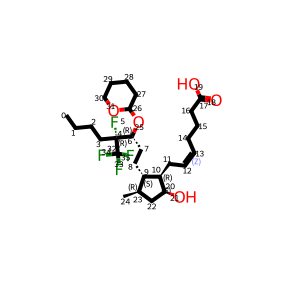 CCCC[C@@](F)([C@@H](CC[C@@H]1[C@@H](C/C=C\CCCC(=O)O)[C@@H](O)C[C@H]1C)OC1CCCCO1)C(F)(F)F